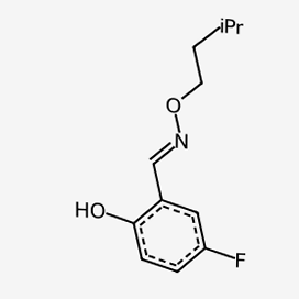 CC(C)CCO/N=C/c1cc(F)ccc1O